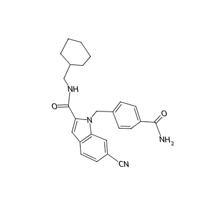 N#Cc1ccc2cc(C(=O)NCC3CCCCC3)n(Cc3ccc(C(N)=O)cc3)c2c1